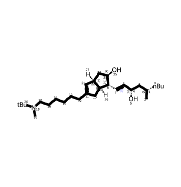 CCCC[C@H](C)C[C@H](O)/C=C/[C@@H]1[C@H]2CC(CCCCCCN(C)C(C)(C)C)=C[C@H]2C[C@H]1O